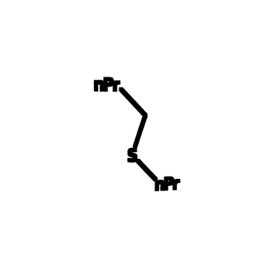 C[CH]CCSCCC